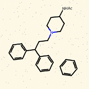 CC(=O)NC1CCN(CCC(c2ccccc2)c2ccccc2)CC1.c1ccccc1